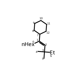 CCCCCCC(=CC(C)(C)CC)C1CCCCC1